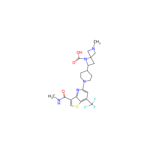 CNC(=O)c1csc2c(C(F)(F)F)cc(N3CCC(C4CC5(CN(C)C5)N4C(=O)O)CC3)nc12